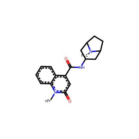 CCCn1c(=O)cc(C(=O)NC2CC3CCC(C2)N3C)c2ccccc21